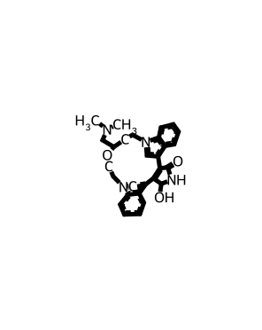 CN(C)CC1CCn2cc(c3ccccc32)C2=C(c3cn(c4ccccc34)CCO1)C(O)NC2=O